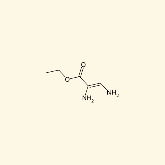 CCOC(=O)C(N)=CN